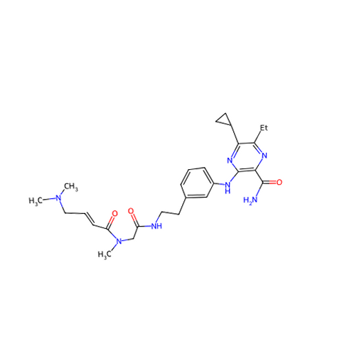 CCc1nc(C(N)=O)c(Nc2cccc(CCNC(=O)CN(C)C(=O)C=CCN(C)C)c2)nc1C1CC1